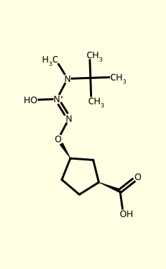 CN(/[N+](O)=N/O[C@@H]1CC[C@H](C(=O)O)C1)C(C)(C)C